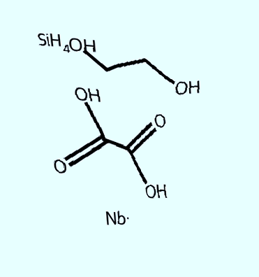 O=C(O)C(=O)O.OCCO.[Nb].[SiH4]